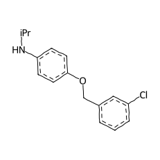 CC(C)Nc1ccc(OCc2cccc(Cl)c2)cc1